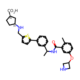 Cc1ccc(OC2CNC2)cc1C(=O)NC(C)c1cccc(-c2ccc(CN[C@H]3CC[C@@H](C(=O)O)C3)s2)c1